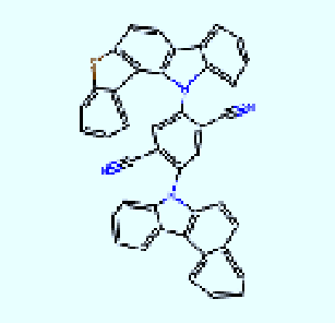 N#Cc1cc(-n2c3ccccc3c3ccc4sc5ccccc5c4c32)c(C#N)cc1-n1c2ccccc2c2c3ccccc3ccc21